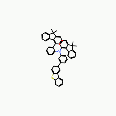 CC1(C)c2ccccc2-c2c(-c3ccccc3N(c3cccc(-c4ccc5sc6ccccc6c5c4)c3)c3cccc4c3-c3ccccc3C4(C)C)cccc21